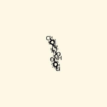 O=C(NCC(=O)N1CCN(c2ccc(Cl)cc2)CC1)c1ccc(Cl)cc1